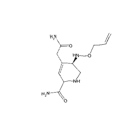 C=CCON[C@H]1CNC(C(N)=O)C=C1CC(N)=O